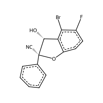 N#C[C@@]1(c2ccccc2)Oc2ccc(F)c(Br)c2[C@H]1O